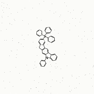 c1ccc(-n2c3ccccc3c3cc4c(cc32)Cc2ccc([Si](c3ccccc3)(c3ccccc3)c3ccccc3)cc2-4)cc1